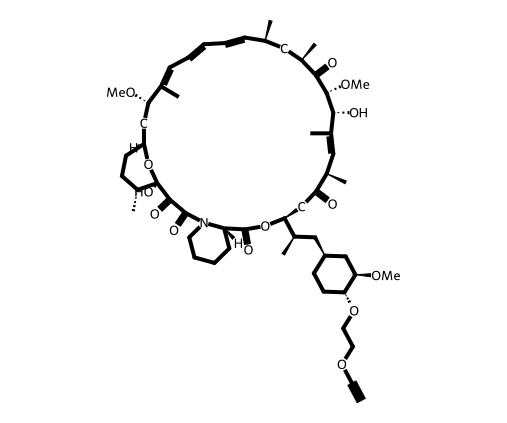 C#COCCO[C@@H]1CC[C@@H](C[C@@H](C)[C@@H]2CC(=O)[C@H](C)/C=C(\C)[C@@H](O)[C@@H](OC)C(=O)[C@H](C)C[C@H](C)/C=C/C=C/C=C(\C)[C@@H](OC)C[C@@H]3CC[C@@H](C)[C@](O)(O3)C(=O)C(=O)N3CCCC[C@H]3C(=O)O2)C[C@H]1OC